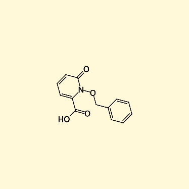 O=C(O)c1cccc(=O)n1OCc1ccccc1